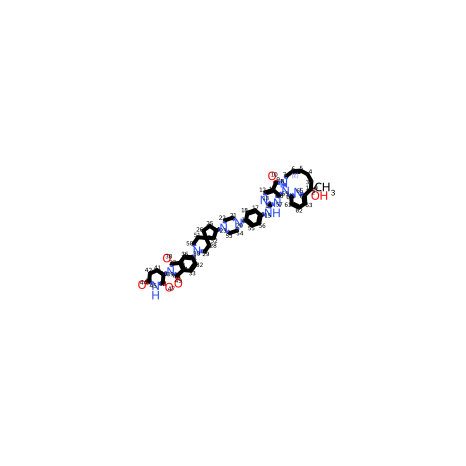 C[C@@]1(O)CC/C=C\Cn2c(=O)c3cnc(Nc4ccc(N5CCN(C6CCC7(CCN(c8ccc9c(c8)C(=O)N(C8CCC(=O)NC8=O)C9=O)CC7)C6)CC5)cc4)nc3n2-c2cccc1n2